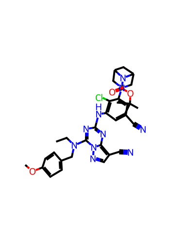 CCN(Cc1ccc(OC)cc1)c1nc(Nc2cc(C#N)cc(N3CC4CC(C3)N4C(=O)OC(C)(C)C)c2Cl)nc2c(C#N)cnn12